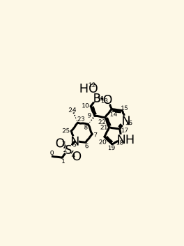 CCS(=O)(=O)N1CC[C@@H](C2=CB(O)Oc3cnc4[nH]ccc4c32)[C@@H](C)C1